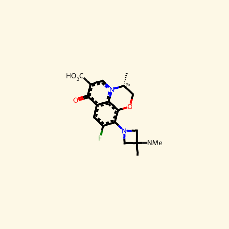 CNC1(C)CN(c2c(F)cc3c(=O)c(C(=O)O)cn4c3c2OC[C@H]4C)C1